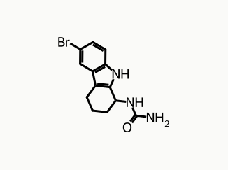 NC(=O)NC1CCCc2c1[nH]c1ccc(Br)cc21